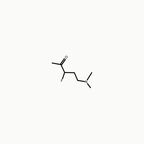 CC(=O)C(F)CCN(C)C